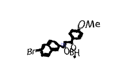 CBO/C(=C\C(=O)c1ccc(OC)cc1)c1ccc2cc(Br)ccc2c1